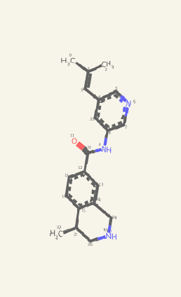 CC(C)=Cc1cncc(NC(=O)c2ccc3c(c2)CNCC3C)c1